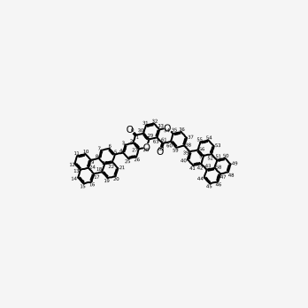 O=c1c2cc(-c3ccc4c5cccc6cccc(c7cccc3c74)c65)ccc2oc2c1ccc1oc3ccc(-c4ccc5c6cccc7cccc(c8cccc4c85)c76)cc3c(=O)c12